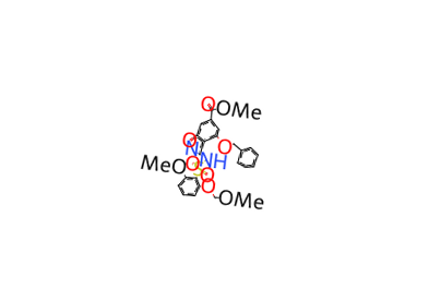 COCOc1cccc(OC)c1S(=O)(=O)Nc1noc2cc(C(=O)OC)cc(OCc3ccccc3)c12